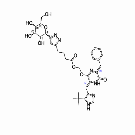 CC(C)(C)c1[nH]cnc1/C=c1\[nH]c(=O)/c(=C/c2ccccc2)nc1OCOC(=O)CCCc1cn([C@@H]2O[C@H](CO)[C@H](O)[C@H](O)[C@H]2O)nn1